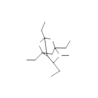 CCC12CC3(CC)OC(CC)(CC(CC)(O1)P3C)O2